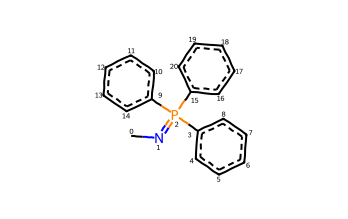 CN=P(c1ccccc1)(c1ccccc1)c1ccccc1